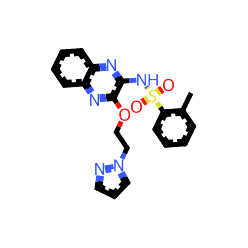 Cc1ccccc1S(=O)(=O)Nc1nc2ccccc2nc1OCCn1cccn1